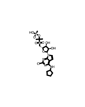 CC(C)(OP(C)(=O)O)S(=O)(=O)C[C@H]1O[C@@H](n2ccc3c(NC4CCCC4)nc(Cl)nc32)[C@H](O)[C@@H]1O